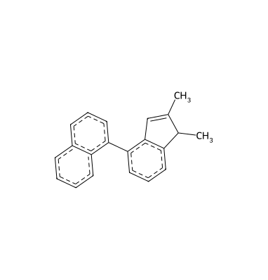 CC1=Cc2c(-c3cccc4ccccc34)cccc2C1C